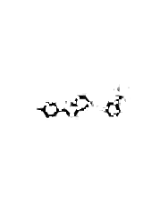 CC(C)(C)OC(=O)c1cccc(COc2ccc3nc(-c4ccc(Cl)cc4)ccc3c2)c1